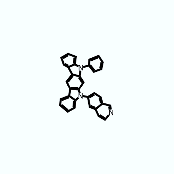 c1ccc(-n2c3ccccc3c3cc4c5ccccc5n(-c5ccc6cnccc6c5)c4cc32)cc1